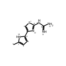 Cc1ccc(-c2csc(NC(=N)N)n2)[nH]1